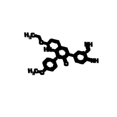 CCOC1C=Cc2cc(-c3ccc(=N)n(C=N)c3)c(=O)n(-c3ccc(OC)cc3)c2N1